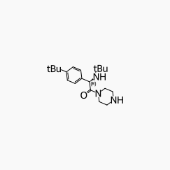 CC(C)(C)N[C@@H](C(=O)N1CCNCC1)c1ccc(C(C)(C)C)cc1